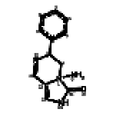 N[N+]12CC(c3ccccc3)N=CC1=CNC2=O